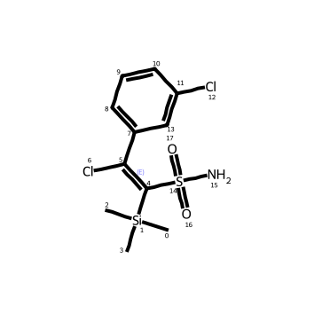 C[Si](C)(C)/C(=C(\Cl)c1cccc(Cl)c1)S(N)(=O)=O